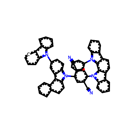 N#Cc1cc(-n2c3ccccc3c3ccc4c5ccccc5n(-c5ccccc5)c4c32)c(C#N)cc1-n1c2ccc(-n3c4ccccc4c4ccccc43)cc2c2c3ccccc3ccc21